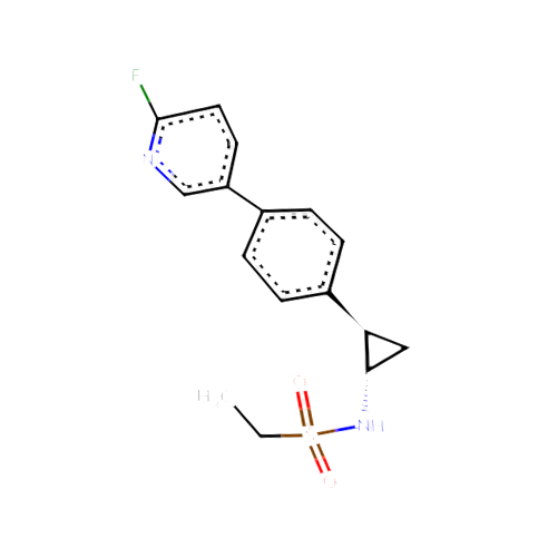 CCS(=O)(=O)N[C@H]1C[C@@H]1c1ccc(-c2ccc(F)nc2)cc1